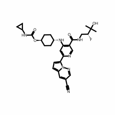 CC(C)(O)[C@H](F)CNC(=O)c1cnc(-c2ccc3cc(C#N)cnn23)cc1N[C@H]1CC[C@H](OC(=O)NC2CC2)CC1